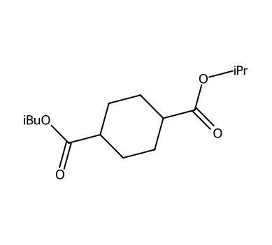 CC(C)COC(=O)C1CCC(C(=O)OC(C)C)CC1